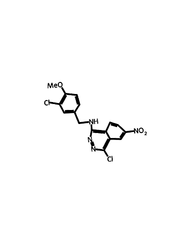 COc1ccc(CNc2nnc(Cl)c3cc([N+](=O)[O-])ccc23)cc1Cl